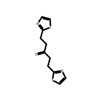 O=C(CCc1nccs1)CCc1nccs1